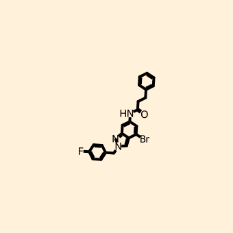 O=C(CCc1ccccc1)Nc1cc(Br)c2cn(Cc3ccc(F)cc3)nc2c1